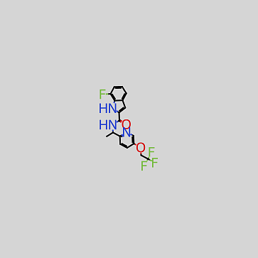 CC(NC(=O)c1cc2cccc(F)c2[nH]1)c1ccc(OCC(F)(F)F)cn1